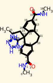 CNC(=O)c1ccc2c(c1)CCc1cc(C(=O)NC)ccc1C2(C[C@H](C)N)C1N=NNN1